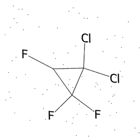 FC1C(F)(F)C1(Cl)Cl